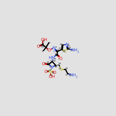 CC(C)(O/N=C(\C(=O)N[C@@H]1C(=O)N(S(=O)(=O)O)[C@H]1CSCCN)c1cnc(N)s1)C(=O)O